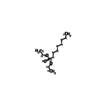 CCCCCCCCP(=O)(OCC)OCC